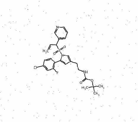 C=CC(c1cccnc1)S(=O)(=O)n1cc(CCNC(=O)OC(C)(C)C)cc1-c1ccc(Cl)cc1F